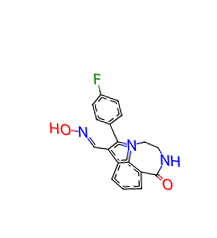 O=C1NCCn2c(-c3ccc(F)cc3)c(C=NO)c3cccc1c32